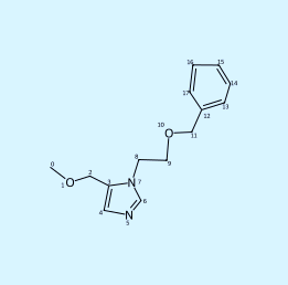 COCc1cncn1CCOCc1ccccc1